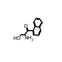 NC(CO)C(=O)c1cccc2ccccc12